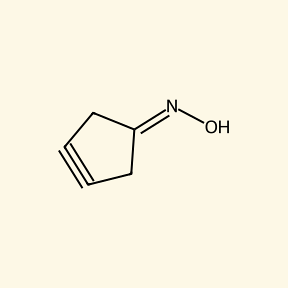 ON=C1CC#CC1